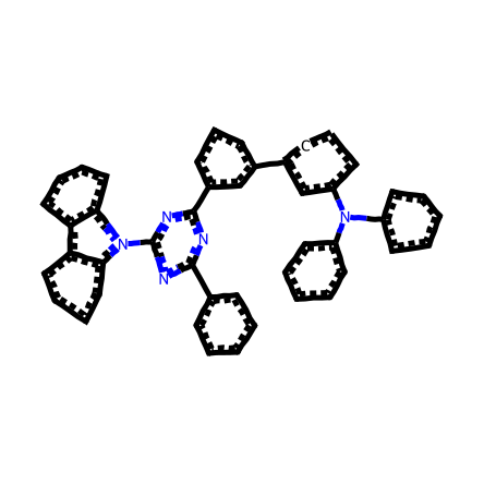 c1ccc(-c2nc(-c3cccc(-c4cccc(N(c5ccccc5)c5ccccc5)c4)c3)nc(-n3c4ccccc4c4ccccc43)n2)cc1